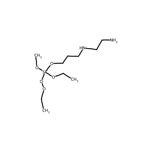 CCOO[Si](OC)(OCC)OCCCNCCN